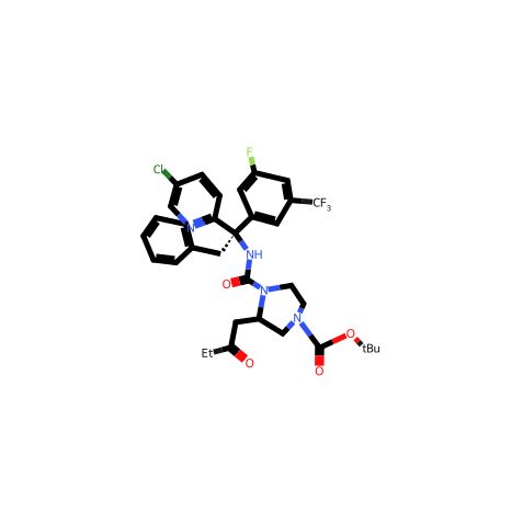 CCC(=O)CC1CN(C(=O)OC(C)(C)C)CCN1C(=O)N[C@](Cc1ccccc1)(c1cc(F)cc(C(F)(F)F)c1)c1ccc(Cl)cn1